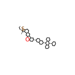 C/C=C\c1sc2ccc3cc4c(cc3c2c1C)oc1ccc(-c2ccc3cc(-c5c6ccccc6c(-c6ccccc6)c6ccccc56)ccc3c2)cc14